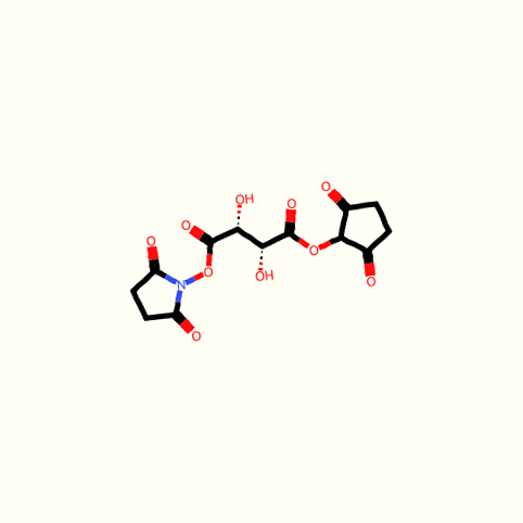 O=C1CCC(=O)C1OC(=O)[C@H](O)[C@@H](O)C(=O)ON1C(=O)CCC1=O